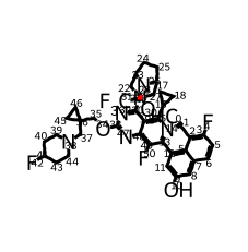 C#Cc1c(F)ccc2cc(O)cc(-c3nc(C4CC4)c4c(N5CC6CCC(C5)N6C(=O)C(F)(F)F)nc(OCC5(CN6CCC(F)CC6)CC5)nc4c3F)c12